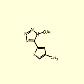 CC(=O)On1nnnc1-c1cc(C)cs1